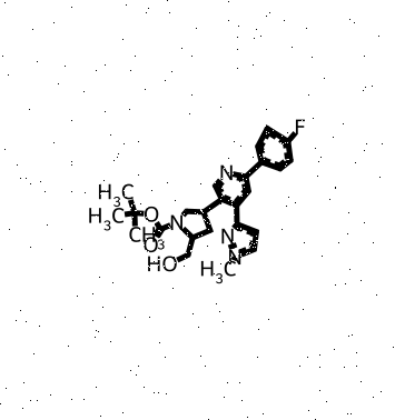 Cn1ccc(-c2cc(-c3ccc(F)cc3)ncc2C2CC(CO)N(C(=O)OC(C)(C)C)C2)n1